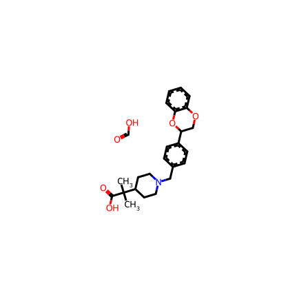 CC(C)(C(=O)O)C1CCN(Cc2ccc(C3COc4ccccc4O3)cc2)CC1.O=CO